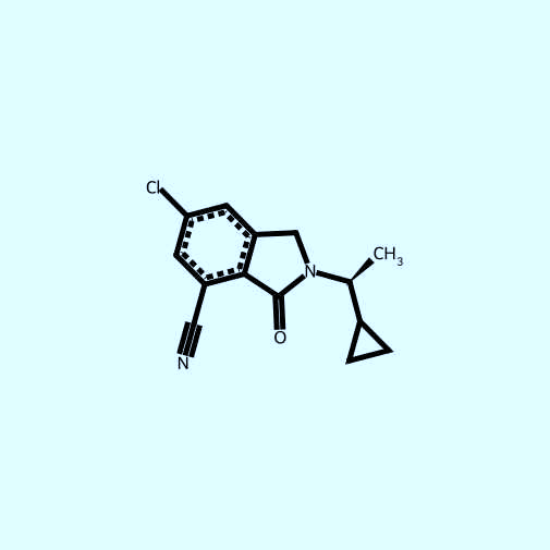 C[C@@H](C1CC1)N1Cc2cc(Cl)cc(C#N)c2C1=O